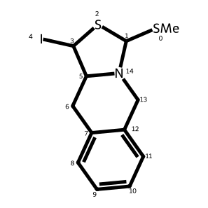 CSC1SC(I)C2Cc3ccccc3CN12